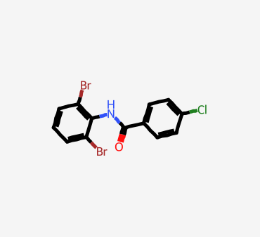 O=C(Nc1c(Br)cccc1Br)c1ccc(Cl)cc1